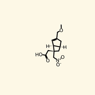 COCC1=C[C@H]2[C@@H](C1)C[C@]2(CC(=O)O)C[N+](=O)[O-]